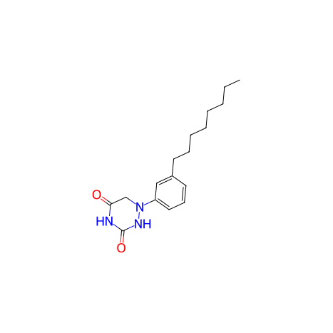 CCCCCCCCc1cccc(N2CC(=O)NC(=O)N2)c1